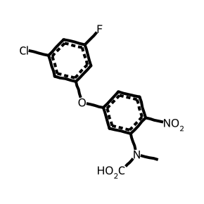 CN(C(=O)O)c1cc(Oc2cc(F)cc(Cl)c2)ccc1[N+](=O)[O-]